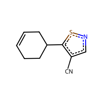 N#Cc1cnsc1C1CC=CCC1